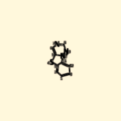 [c]1ccc2sc3cncn[n+]3c2c1